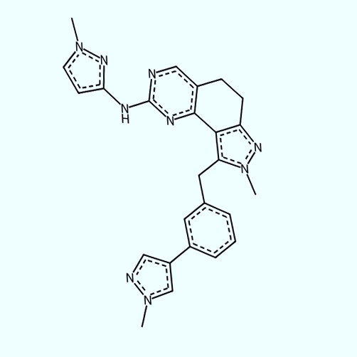 Cn1cc(-c2cccc(Cc3c4c(nn3C)CCc3cnc(Nc5ccn(C)n5)nc3-4)c2)cn1